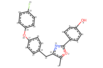 Cc1oc(-c2ccc(O)cc2)nc1Cc1ccc(Oc2ccc(F)cc2)cc1